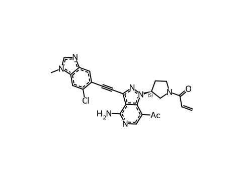 C=CC(=O)N1CC[C@H](n2nc(C#Cc3cc4ncn(C)c4cc3Cl)c3c(N)ncc(C(C)=O)c32)C1